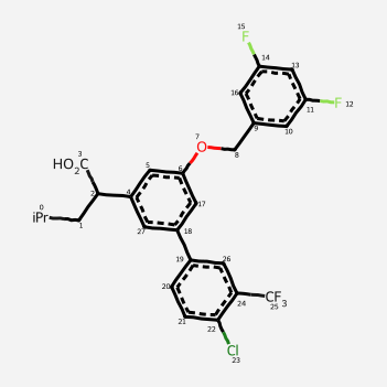 CC(C)CC(C(=O)O)c1cc(OCc2cc(F)cc(F)c2)cc(-c2ccc(Cl)c(C(F)(F)F)c2)c1